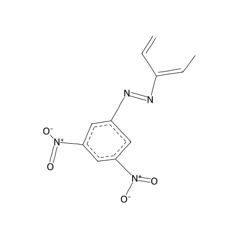 C=C/C(=C\C)N=Nc1cc([N+](=O)[O-])cc([N+](=O)[O-])c1